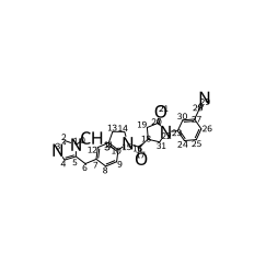 Cn1cncc1Cc1ccc2c(c1)CCN2C(=O)[C@H]1CC(=O)N(c2cccc(C#N)c2)C1